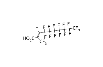 O=C(O)C(=C(F)C(F)(F)C(F)(F)C(F)(F)C(F)(F)C(F)(F)C(F)(F)C(F)(F)F)C(F)(F)F